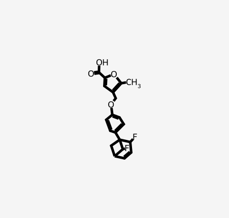 Cc1oc(C(=O)O)cc1COc1ccc(C23CC(C=CC2F)C3F)cc1